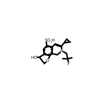 CC(C)(F)CN1Cc2c(c(S(=O)(=O)O)cc3c2OCC3O)C=C1C1CC1